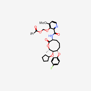 COc1ccnc(C(=O)N[C@H]2CCC[C@H](Oc3ccc(F)cc3)[C@@H](OC3CCCC3)[C@H](C)OC2=O)c1OCOC(=O)C(C)C